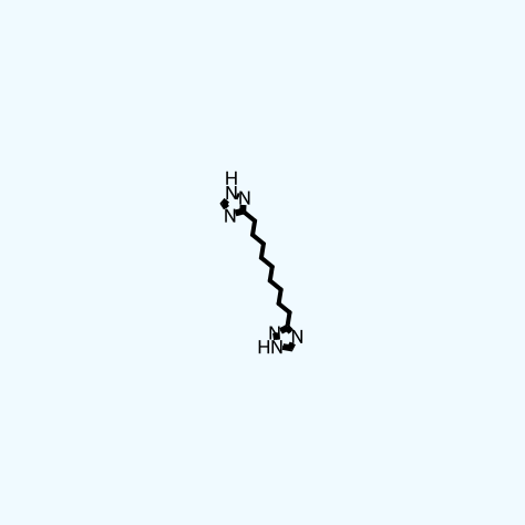 c1nc(CCCCCCCCCc2nc[nH]n2)n[nH]1